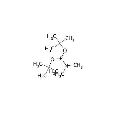 CN(C)P(OC(C)(C)C)OC(C)(C)C